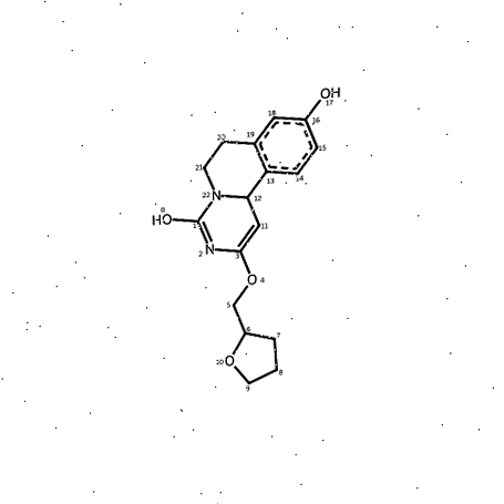 OC1=NC(OCC2CCCO2)=CC2c3ccc(O)cc3CCN12